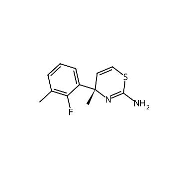 Cc1cccc([C@]2(C)C=CSC(N)=N2)c1F